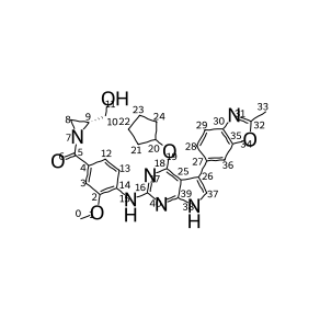 COc1cc(C(=O)N2C[C@@H]2CO)ccc1Nc1nc(OC2CCCC2)c2c(-c3ccc4nc(C)oc4c3)c[nH]c2n1